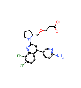 Nc1ccc(-c2cc(N3CCC[C@H]3COCCC(=O)O)nc3c(Cl)c(Cl)ccc23)cn1